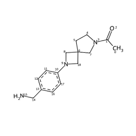 CC(=O)N1CCC2(C1)CN(c1ccc(CN)cc1)C2